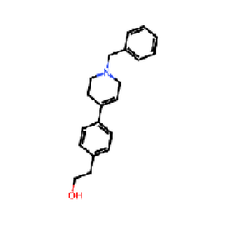 OCCc1ccc(C2=CCN(Cc3ccccc3)CC2)cc1